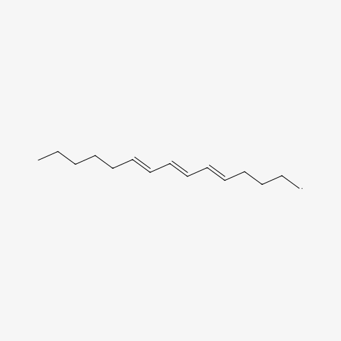 [CH2]CCC/C=C/C=C/C=C/CCCCC